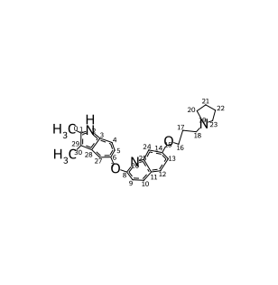 Cc1[nH]c2ccc(Oc3ccc4ccc(OCCCN5CCCC5)cc4n3)cc2c1C